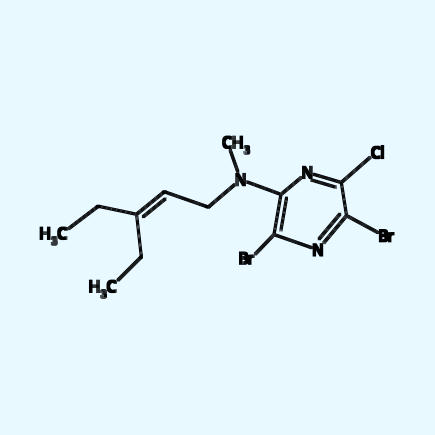 CCC(=CCN(C)c1nc(Cl)c(Br)nc1Br)CC